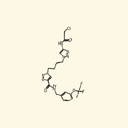 O=C(CCl)Nc1cn(CCCCn2cc(C(=O)NCc3cccc(OC(F)(F)F)c3)nn2)nn1